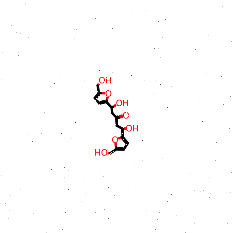 O=C(CC(O)c1ccc(CO)o1)CC(O)c1ccc(CO)o1